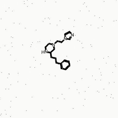 c1ccc(CCCC2CN(CCn3ccnc3)CCN2)cc1